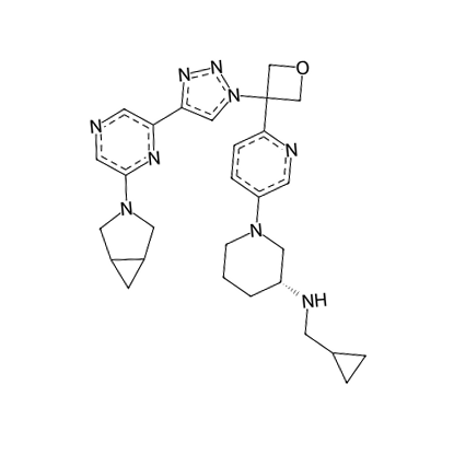 c1cc(C2(n3cc(-c4cncc(N5CC6CC6C5)n4)nn3)COC2)ncc1N1CCC[C@@H](NCC2CC2)C1